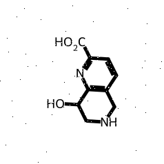 O=C(O)c1ccc2c(n1)C(O)CNC2